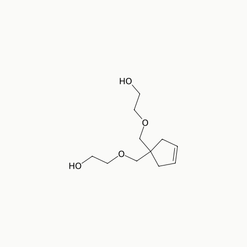 OCCOCC1(COCCO)CC=CC1